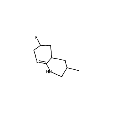 CC1CNC2=NCC(F)CC2C1